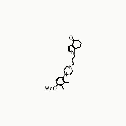 COc1ccc(N2CCN(CCCn3ccc4c3CCCC4=O)CC2)c(C)c1C